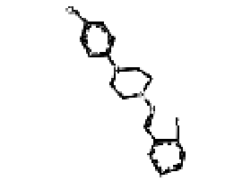 Fc1ccccc1/C=N/N1CCN(c2ccc(Cl)cc2)CC1